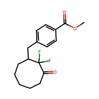 COC(=O)c1ccc(CC2CCCCCC(=O)C2(F)F)cc1